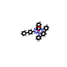 C1=CCC(c2ccc(-c3nc(-c4ccccc4)nc(-n4c5ccccc5c5ccc6c7ccccc7n(-c7ccccc7)c6c54)n3)cc2)C=C1